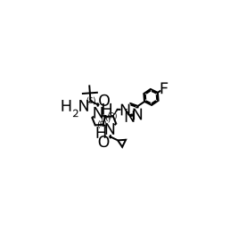 CC(C)(C)[C@H](N)C(=O)N1CC[C@@H]2[C@H]1[C@@H](Cn1cc(-c3ccc(F)cc3)nn1)CN2C(=O)C1CC1